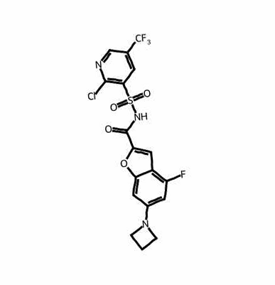 O=C(NS(=O)(=O)c1cc(C(F)(F)F)cnc1Cl)c1cc2c(F)cc(N3CCC3)cc2o1